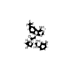 Nc1ncnc2c1c1cc(C(F)(F)F)ccc1n2CC(=O)N1[C@@H]2C[C@@H]2C[C@H]1C(=O)Nc1cccc(Br)c1F